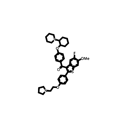 COc1cc2sc(-c3ccc(OCCN4CCCC4)cc3)c(C(=O)c3ccc(OC4CCCCC4N4CCCCC4)cc3)c2cc1F